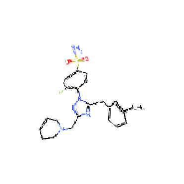 Cc1cccc(Cc2nc(CN3CC=CCC3)nn2-c2ccc(S(N)(=O)=O)cc2F)c1